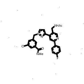 CNC(=O)c1cc(Cl)cc(Cn2ccc(-c3cc(-c4ccc(F)cc4)ncc3CNC(C)=O)n2)c1